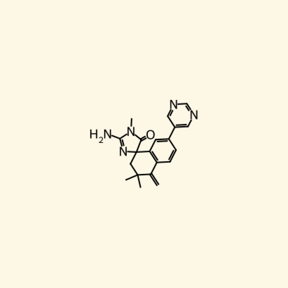 C=C1c2ccc(-c3cncnc3)cc2C2(CC1(C)C)N=C(N)N(C)C2=O